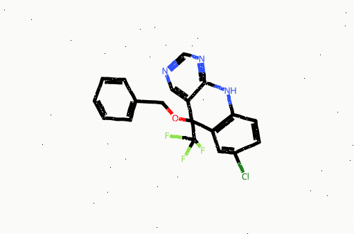 FC(F)(F)C1(OCc2ccccc2)c2cc(Cl)ccc2Nc2ncncc21